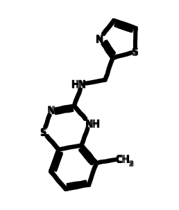 Cc1cccc2c1NC(NCc1nccs1)=NS2